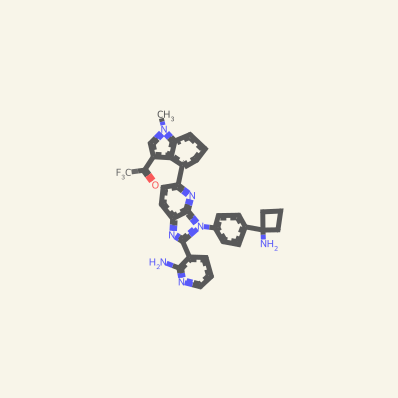 Cn1cc(C(=O)C(F)(F)F)c2c(-c3ccc4nc(-c5cccnc5N)n(-c5ccc(C6(N)CCC6)cc5)c4n3)cccc21